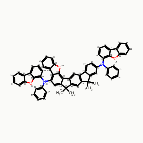 CC1(C)c2cc(N(c3ccccc3)c3cccc4c3oc3ccccc34)ccc2-c2cc3c(cc21)C(C)(C)c1cc(N(c2ccccc2)c2cccc4c2oc2ccccc24)c2c(oc4ccccc42)c1-3